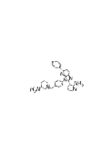 Nc1ncccc1-c1nc2ccc(-c3ccccc3)nc2n1-c1ccc(CN2CCCC(N)C2)cc1